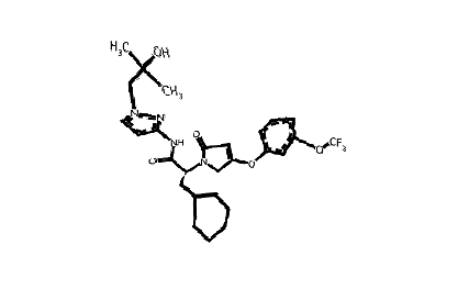 CC(C)(O)Cn1ccc(NC(=O)[C@H](CC2CCCCC2)N2CC(Oc3cccc(OC(F)(F)F)c3)=CC2=O)n1